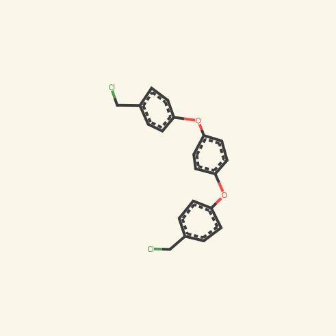 ClCc1ccc(Oc2ccc(Oc3ccc(CCl)cc3)cc2)cc1